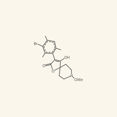 CON1CCC2(CC1)OC(=O)C(c1c(C)cc(C)c(Br)c1C)=C2O